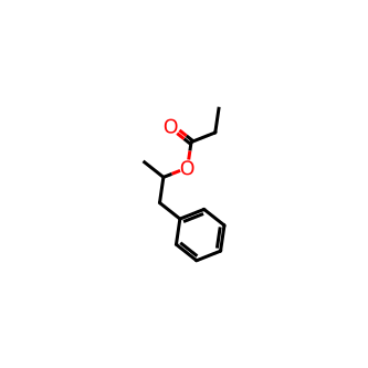 CCC(=O)OC(C)Cc1ccccc1